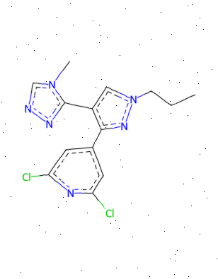 CCCn1cc(-c2nncn2C)c(-c2cc(Cl)nc(Cl)c2)n1